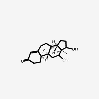 C[C@@]12C(O)CC[C@H]1[C@@H]1CCC3=CC(=O)CC[C@]3(C)[C@H]1CC2O